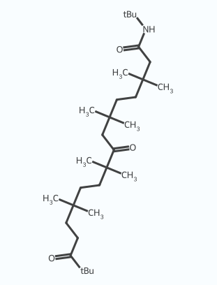 CC(C)(CCC(=O)C(C)(C)C)CCC(C)(C)C(=O)CC(C)(C)CCC(C)(C)CC(=O)NC(C)(C)C